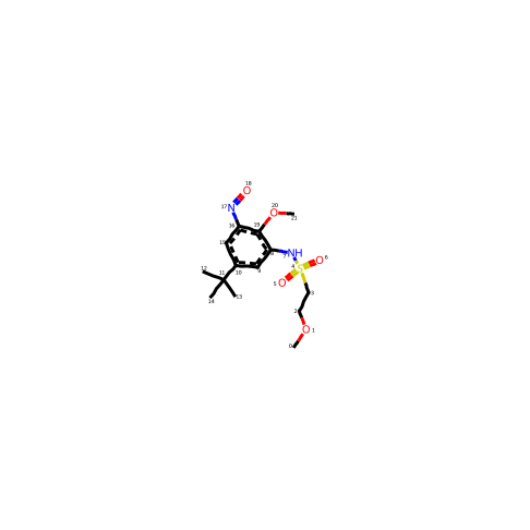 COCCS(=O)(=O)Nc1cc(C(C)(C)C)cc(N=O)c1OC